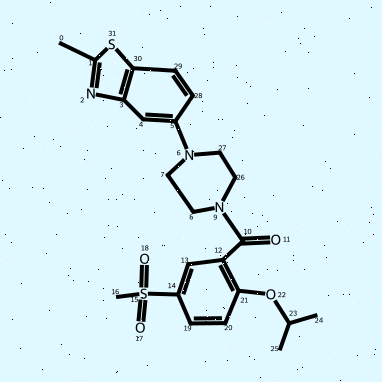 Cc1nc2cc(N3CCN(C(=O)c4cc(S(C)(=O)=O)ccc4OC(C)C)CC3)ccc2s1